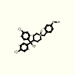 CCCOc1ccc(C[N+]2([O-])CCC(C(O)(c3ccc(C(F)(F)F)cc3)c3ccc(C(F)(F)F)cc3)CC2)cc1